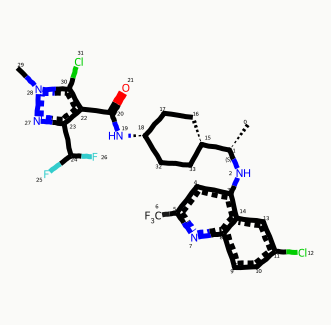 C[C@H](Nc1cc(C(F)(F)F)nc2ccc(Cl)cc12)[C@H]1CC[C@@H](NC(=O)c2c(C(F)F)nn(C)c2Cl)CC1